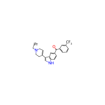 CC(C)CN1CC=C(c2c[nH]c3ccc(C(=O)c4cccc(C(F)(F)F)c4)cc23)CC1